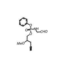 C#CCC(COP(=O)(NCC=O)Oc1ccccc1)OC